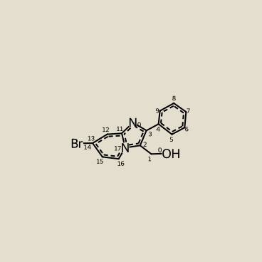 OCc1c(-c2ccccc2)nc2cc(Br)ccn12